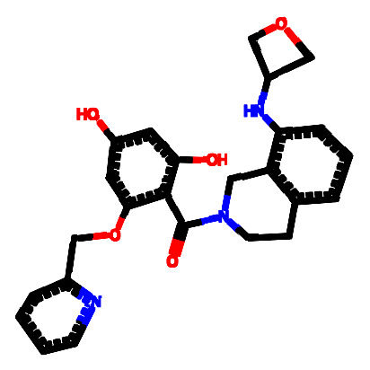 O=C(c1c(O)cc(O)cc1OCc1ccccn1)N1CCc2cccc(NC3COC3)c2C1